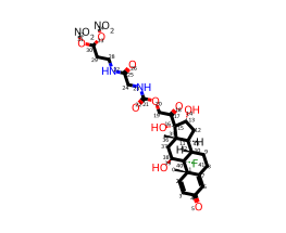 C[C@]12C=CC(=O)C=C1CC[C@H]1[C@@H]3C[C@@H](O)[C@](O)(C(=O)COC(=O)NCC(=O)NCCC(O[N+](=O)[O-])O[N+](=O)[O-])[C@@]3(C)C[C@H](O)[C@@]12F